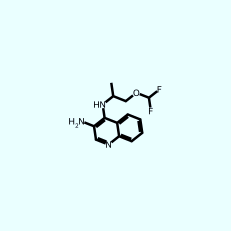 CC(COC(F)F)Nc1c(N)cnc2ccccc12